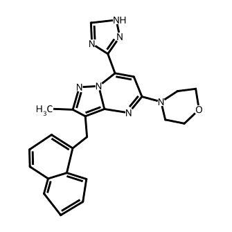 Cc1nn2c(-c3nc[nH]n3)cc(N3CCOCC3)nc2c1Cc1cccc2ccccc12